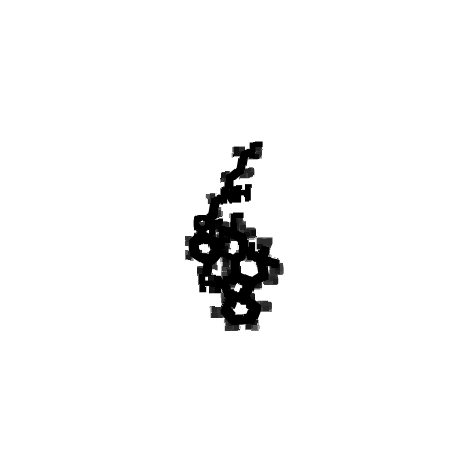 Cc1ccc(OCCNCCCF)cc1[C@@H]1c2[nH]c3ccccc3c2CC(C)(C)N1CC(F)(F)F